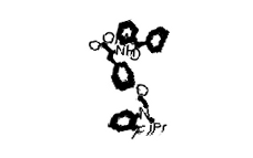 COC(=O)C(Cc1ccc(OCCN(CC(C)C)c2ccccc2F)cc1)Nc1ccccc1C(=O)c1ccccc1